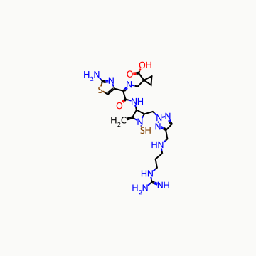 C=C1C(NC(=O)/C(=N\CC2(C(=O)O)CC2)c2csc(N)n2)C(Cn2ncc(CNCCCNC(=N)N)n2)N1S